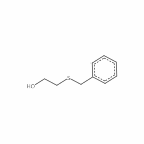 OCCSCc1[c]cccc1